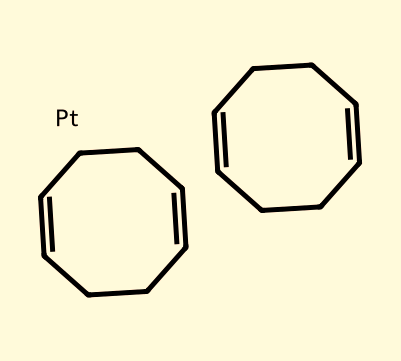 C1=C\CC/C=C\CC/1.C1=C\CC/C=C\CC/1.[Pt]